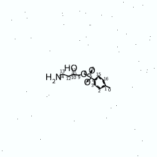 Cc1ccc(S(=O)(=O)OC[C@@H](O)CCN)cc1